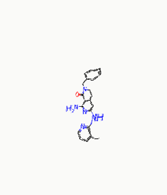 Cc1cccnc1Nc1cc2ccn(Cc3ccccc3)c(=O)c2c(N)n1